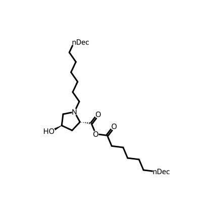 CCCCCCCCCCCCCCCCN1C[C@H](O)C[C@H]1C(=O)OC(=O)CCCCCCCCCCCCCCC